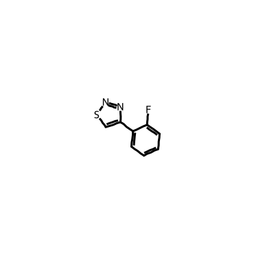 Fc1ccccc1-c1csnn1